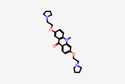 Cn1c2ccc(OCCN3CCCC3)cc2c(=O)c2ccc(OCCN3CCCC3)cc21